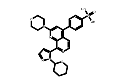 O=P(O)(O)c1ccc(-c2cc(N3CCOCC3)nc3c(-c4ccnn4C4CCCCO4)nccc23)cc1